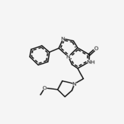 COC1CCN(Cc2cn3c(-c4ccccc4)ncc3c(=O)[nH]2)C1